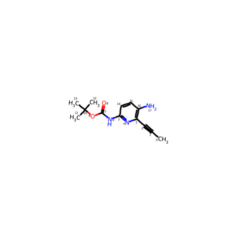 CC#Cc1nc(NC(=O)OC(C)(C)C)ccc1N